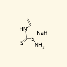 C=CNC(=S)SN.[NaH]